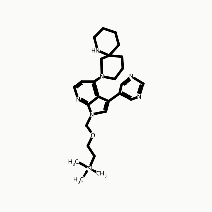 C[Si](C)(C)CCOCn1cc(-c2cncnc2)c2c(N3CCCC4(CCCCN4)C3)ccnc21